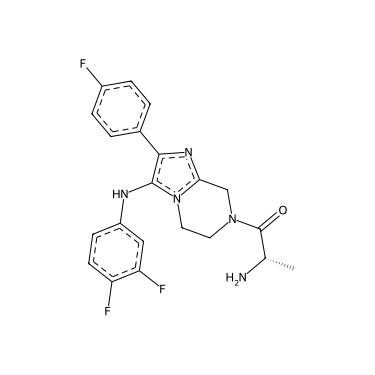 C[C@H](N)C(=O)N1CCn2c(nc(-c3ccc(F)cc3)c2Nc2ccc(F)c(F)c2)C1